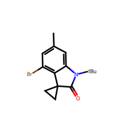 Cc1cc(Br)c2c(c1)N(C(C)(C)C)C(=O)C21CC1